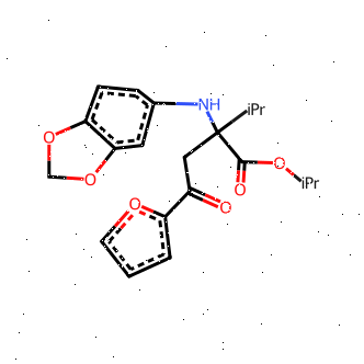 CC(C)OC(=O)C(CC(=O)c1ccco1)(Nc1ccc2c(c1)OCO2)C(C)C